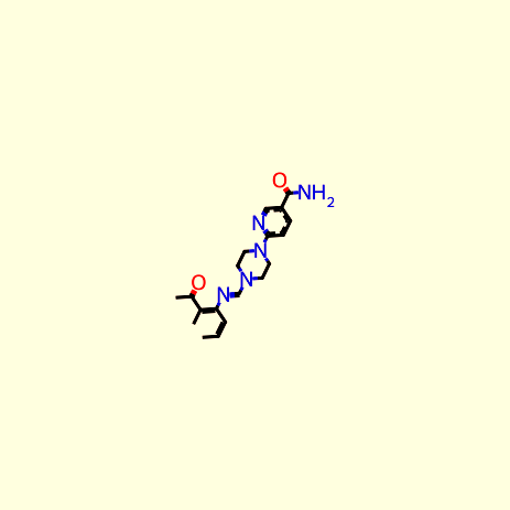 C\C=C/C(/N=C/N1CCN(c2ccc(C(N)=O)cn2)CC1)=C(\C)C(C)=O